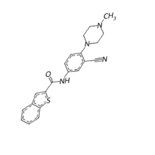 CN1CCN(c2ccc(NC(=O)c3cc4ccccc4s3)cc2C#N)CC1